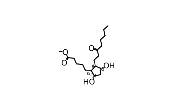 CCCCCC(=O)CC[C@@H]1[C@H](CCCCC(=O)OC)[C@@H](O)C[C@H]1O